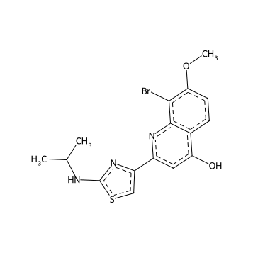 COc1ccc2c(O)cc(-c3csc(NC(C)C)n3)nc2c1Br